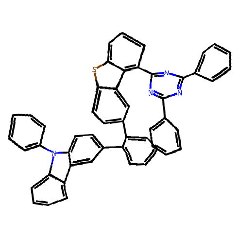 c1ccc(-c2nc(-c3ccccc3)nc(-c3cccc4sc5ccc(-c6ccccc6-c6ccc7c(c6)c6ccccc6n7-c6ccccc6)cc5c34)n2)cc1